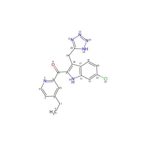 CCc1ccnc(C(=O)c2[nH]c3cc(Cl)ccc3c2Cc2nnn[nH]2)c1